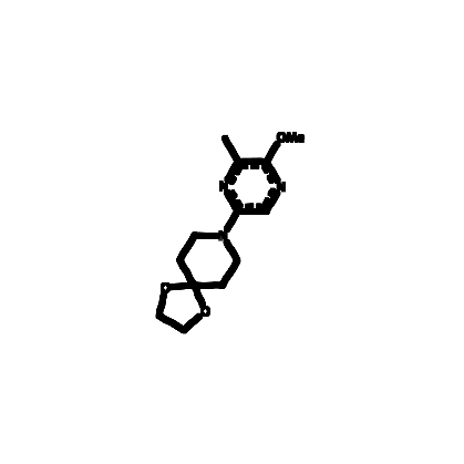 COc1ncc(N2CCC3(CC2)OCCO3)nc1C